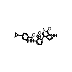 Cc1cc(C2CC2)ccc1C(=O)Nc1cccc(-c2cn(C)c(=O)c3[nH]ccc23)c1CO